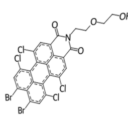 O=C1c2cc(Cl)c3c4c(Cl)cc(Br)c5c(Br)cc(Cl)c(c6c(Cl)cc(c2c36)C(=O)N1CCOCCO)c54